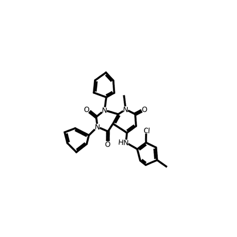 Cc1ccc(Nc2cc(=O)n(C)c3c2c(=O)n(-c2ccccc2)c(=O)n3-c2ccccc2)c(Cl)c1